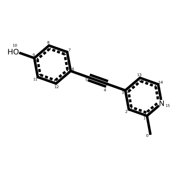 Cc1cc(C#Cc2ccc(O)cc2)ccn1